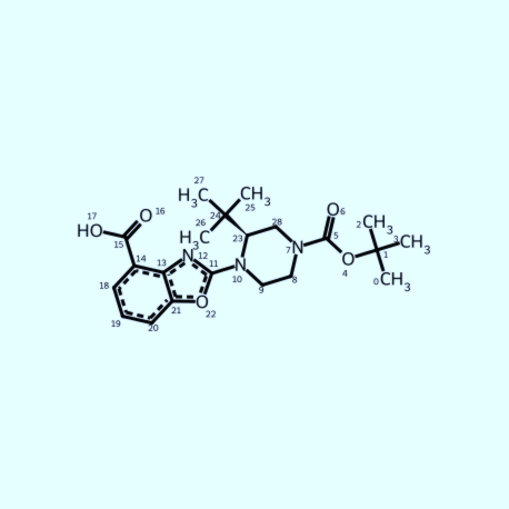 CC(C)(C)OC(=O)N1CCN(c2nc3c(C(=O)O)cccc3o2)[C@@H](C(C)(C)C)C1